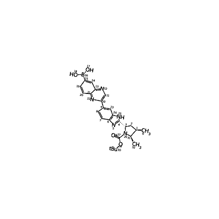 C[C@@H]1C[C@@H](c2nc3ccc(-c4cnc5cc(B(O)O)ccc5n4)cc3[nH]2)N(C(=O)OC(C)(C)C)[C@@H]1C